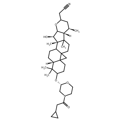 C[C@@H]1CC(CC#N)OC2[C@H]1C1(C)CCC34CC35CCC(O[C@H]3CN(C(=O)CC6CC6)CCO3)C(C)(C)[C@@H]5CCC4[C@]1(C)[C@H]2O